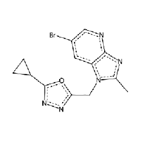 Cc1nc2ncc(Br)cc2n1Cc1nnc(C2CC2)o1